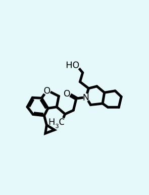 CC(CC(=O)N1CC2CCCCC2CC1CCO)C1COc2cccc(C3CC3)c21